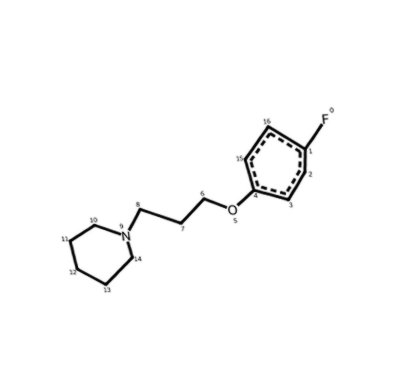 Fc1ccc(OCCCN2CCCCC2)cc1